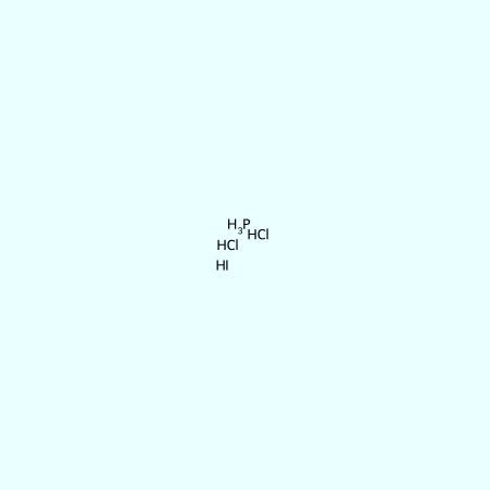 Cl.Cl.I.P